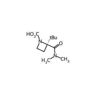 CN(C)C(=O)[C@@]1(C(C)(C)C)CCN1C(=O)O